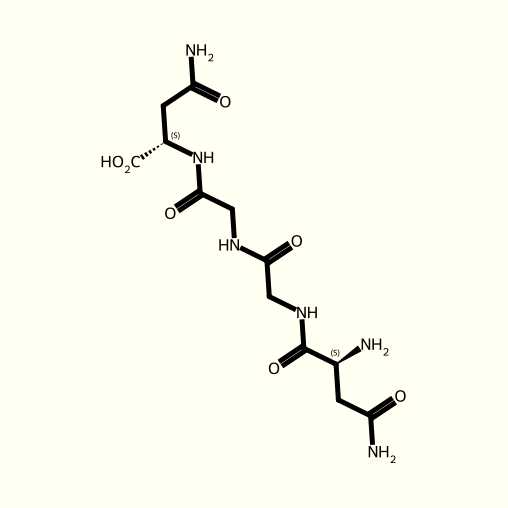 NC(=O)C[C@H](NC(=O)CNC(=O)CNC(=O)[C@@H](N)CC(N)=O)C(=O)O